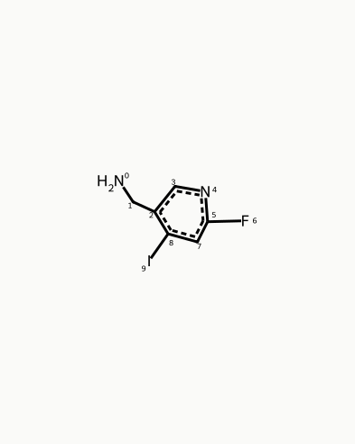 NCc1cnc(F)cc1I